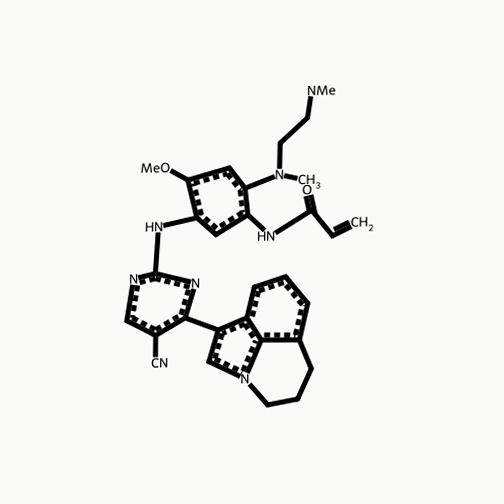 C=CC(=O)Nc1cc(Nc2ncc(C#N)c(-c3cn4c5c(cccc35)CCC4)n2)c(OC)cc1N(C)CCNC